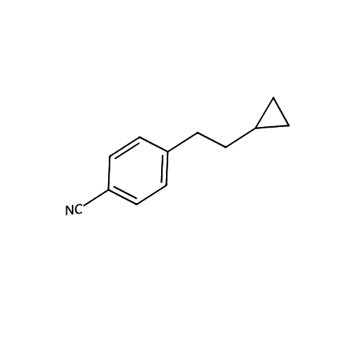 N#Cc1ccc(CCC2CC2)cc1